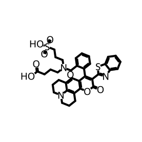 O=C(O)CCCN(CCCS(=O)(=O)O)C(=O)c1ccccc1-c1c(-c2nc3ccccc3s2)c(=O)oc2c3c4c(cc12)CCCN4CCC3